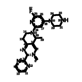 C=N/C=C1\C(=N/Cc2ncccn2)CCN(c2cc(N3CCNCC3)cc(F)n2)C1C